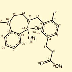 Cc1ccc(CCC(=O)O)cc1CN1CCN(C)c2ccccc2S1(O)O